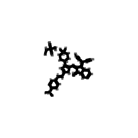 CN(C)c1ccc(/N=N/c2nc(N3CC[N+](C)(C)CC3)c(C=C3C(=O)c4ccccc4C3=C(C#N)C#N)s2)cc1.COS(=O)(=O)[O-]